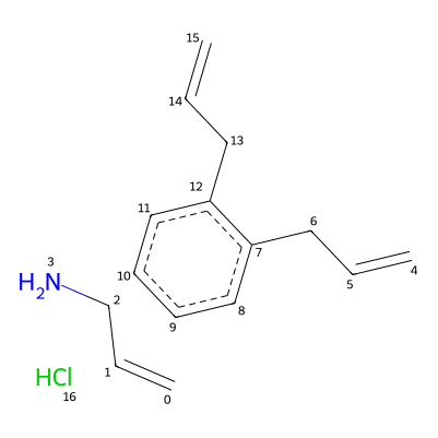 C=CCN.C=CCc1ccccc1CC=C.Cl